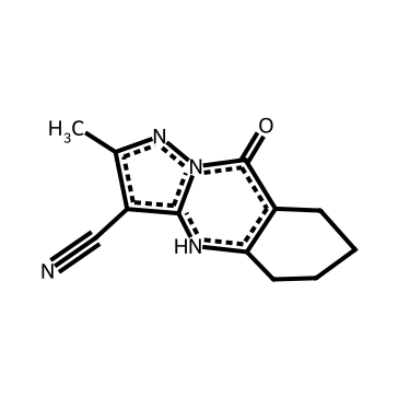 Cc1nn2c(=O)c3c([nH]c2c1C#N)CCCC3